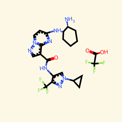 N[C@H]1CCCC[C@H]1Nc1ccn2ncc(C(=O)Nc3cn(C4CC4)nc3C(F)(F)F)c2n1.O=C(O)C(F)(F)F